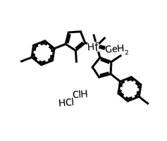 CC1=[C]([Hf]([CH3])([CH3])(=[GeH2])[C]2=C(C)C(c3ccc(C)cc3)=CC2)CC=C1c1ccc(C)cc1.Cl.Cl